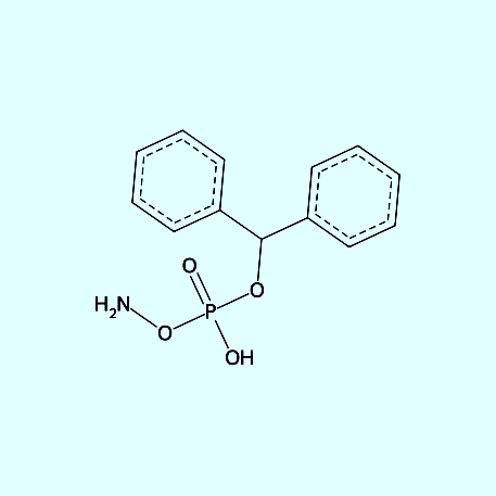 NOP(=O)(O)OC(c1ccccc1)c1ccccc1